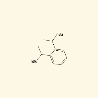 CCCCC(C)c1ccccc1C(C)CCCC